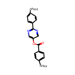 CCCCCCc1ccc(C(=O)Oc2cnc(-c3ccc(CCCCC)cc3)nc2)cc1